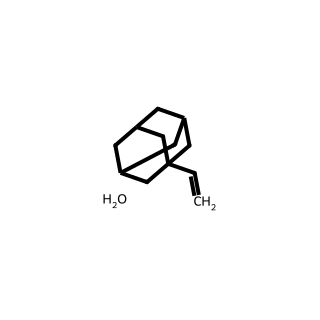 C=CC12CC3CC(CC(C3)C1)C2.O